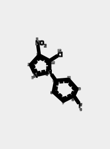 O=[N+]([O-])c1cnn(-c2ccc(F)cc2)c1Cl